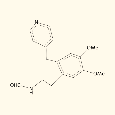 COc1cc(CCNC=O)c(Cc2ccncc2)cc1OC